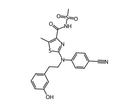 Cc1sc(N(CCc2cccc(O)c2)c2ccc(C#N)cc2)nc1C(=O)NS(C)(=O)=O